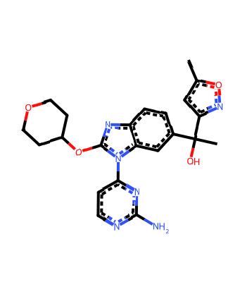 Cc1cc(C(C)(O)c2ccc3nc(OC4CCOCC4)n(-c4ccnc(N)n4)c3c2)no1